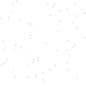 Cc1ccc(S(=O)(=O)N(CC(=O)NCc2cncc(C(=O)O)n2)c2cccc(Cl)c2C)cc1